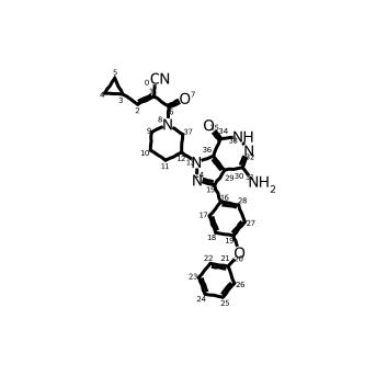 N#CC(=CC1CC1)C(=O)N1CCCC(n2nc(-c3ccc(Oc4ccccc4)cc3)c3c(N)n[nH]c(=O)c32)C1